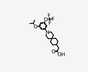 CC(C)Oc1cc(OC(F)(F)F)cc(N2CCC3(CCC(CC(=O)O)CC3)CC2)c1